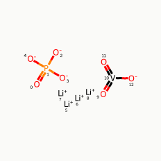 O=P([O-])([O-])[O-].[Li+].[Li+].[Li+].[Li+].[O]=[V](=[O])[O-]